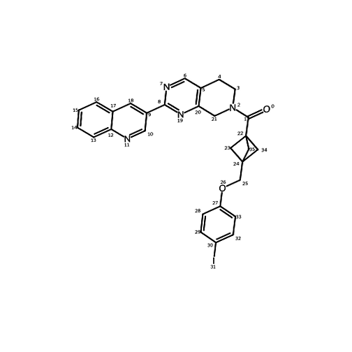 O=C(N1CCc2cnc(-c3cnc4ccccc4c3)nc2C1)C12CC(COc3ccc(I)cc3)(C1)C2